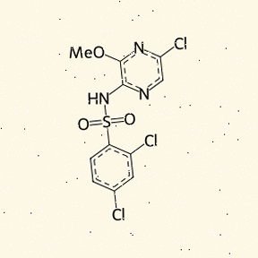 COc1nc(Cl)cnc1NS(=O)(=O)c1ccc(Cl)cc1Cl